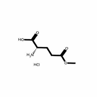 COC(=O)CC[C@H](N)C(=O)O.Cl